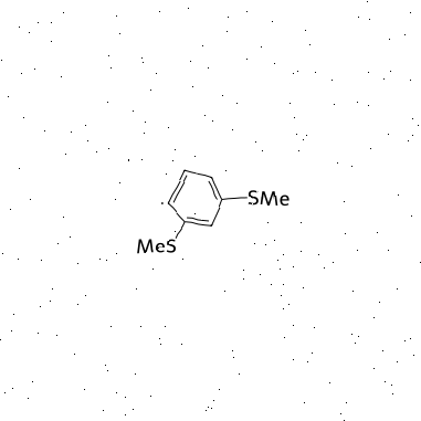 CSc1[c]ccc(SC)c1